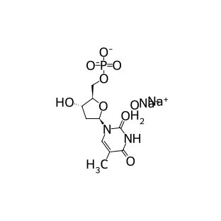 Cc1cn([C@H]2C[C@H](O)[C@@H](COP(=O)([O-])[O-])O2)c(=O)[nH]c1=O.O.[Na+].[Na+]